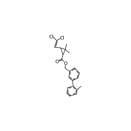 Cc1ccccc1-c1cccc(COC(=O)C2C(C=C(Cl)Cl)C2(C)C)c1